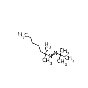 CCCCCC(C)(C)N=NC(C)(C)C